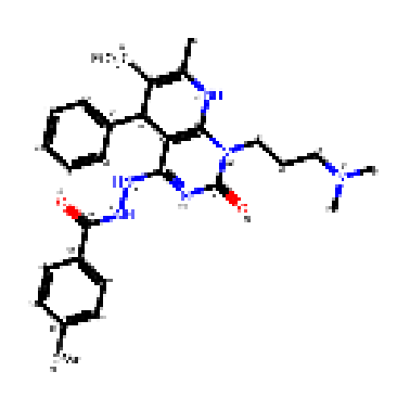 CCOC(=O)C1=C(C)Nc2c(c(NNC(=O)c3ccc(OC)cc3)nc(=O)n2CCCN(C)C)C1c1ccccc1